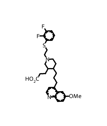 COc1ccc2nccc(CCCC3CCN(CCSc4cccc(F)c4F)CC3CCC(=O)O)c2c1